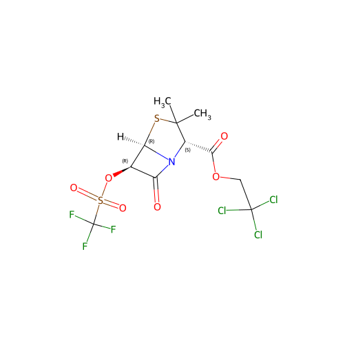 CC1(C)S[C@@H]2[C@H](OS(=O)(=O)C(F)(F)F)C(=O)N2[C@H]1C(=O)OCC(Cl)(Cl)Cl